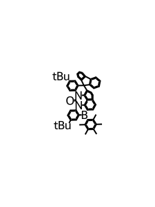 Cc1c(C)c(C)c(B2c3cc(C(C)(C)C)ccc3N3C(=O)N4c5ccc(C(C)(C)C)cc5C5(c6ccccc6-c6ccccc65)c5ccc6ccc2c3c6c54)c(C)c1C